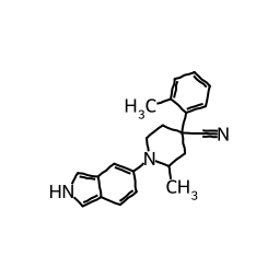 Cc1ccccc1C1(C#N)CCN(c2ccc3c[nH]cc3c2)C(C)C1